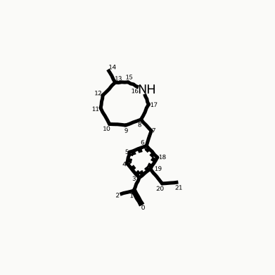 C=C(C)c1ccc(CC2CCCCC(C)CNC2)cc1CC